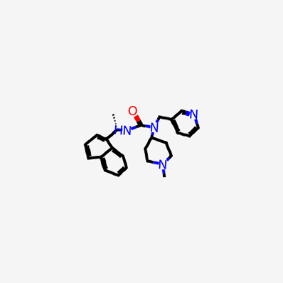 C[C@H](NC(=O)N(Cc1cccnc1)C1CCN(C)CC1)c1cccc2ccccc12